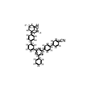 C[C@@H]1C[C@@H]2C[C@H](C)CC(c3ccc(-c4cccc(-c5nc(-c6ccccc6)nc(-c6ccc(-c7ccc(C#N)cc7)cc6)n5)c4)cc3)(C1)C2